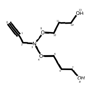 C#CCN(OCCCO)OCCCO